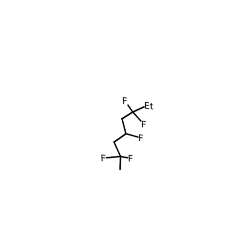 CCC(F)(F)CC(F)CC(C)(F)F